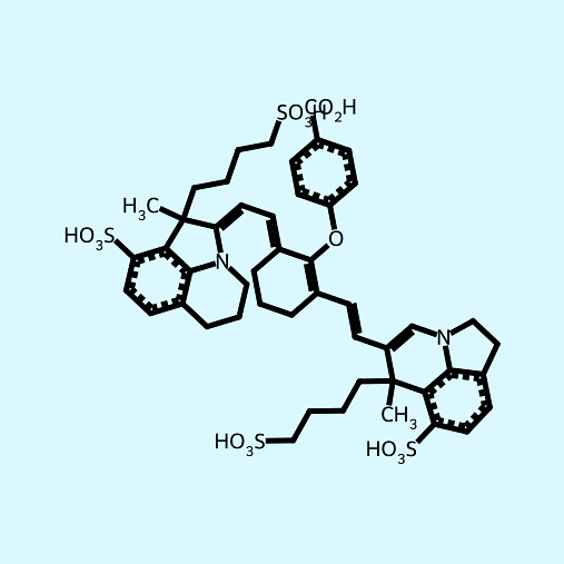 CC1(CCCCS(=O)(=O)O)C(C=CC2=C(Oc3ccc(C(=O)O)cc3)C(=CC=C3N4CCCc5ccc(S(=O)(=O)O)c(c54)C3(C)CCCCS(=O)(=O)O)CCC2)=CN2CCc3ccc(S(=O)(=O)O)c1c32